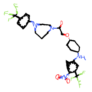 O=C(CO[C@H]1CC[C@H](Nc2ccc([N+](=O)[O-])c(C(F)(F)F)c2)CC1)N1CCCN(c2ccc(C(F)(F)F)cc2)CC1